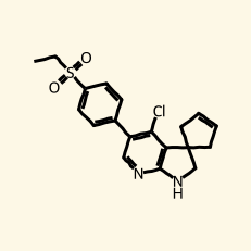 CCS(=O)(=O)c1ccc(-c2cnc3c(c2Cl)C2(CC=CC2)CN3)cc1